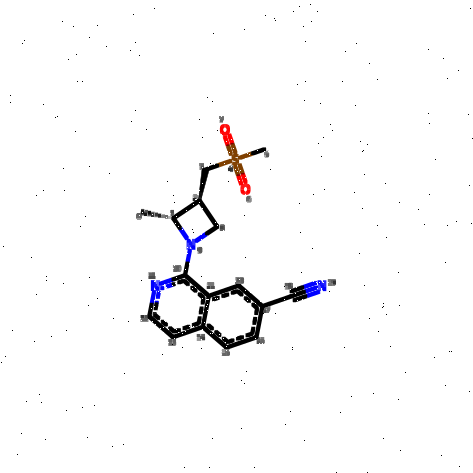 C[C@@H]1[C@@H](CS(C)(=O)=O)CN1c1nccc2ccc(C#N)cc12